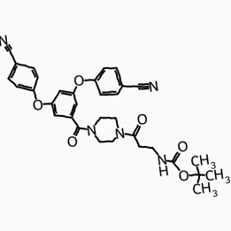 CC(C)(C)OC(=O)NCCC(=O)N1CCN(C(=O)c2cc(Oc3ccc(C#N)cc3)cc(Oc3ccc(C#N)cc3)c2)CC1